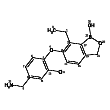 CCc1c(Oc2ccc(CN)cc2Cl)ccc2c1B(O)OC2